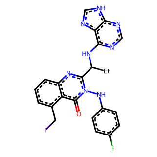 CCC(Nc1ncnc2[nH]cnc12)c1nc2cccc(CI)c2c(=O)n1Nc1ccc(F)cc1